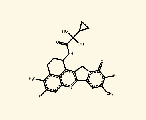 CCc1c(C)cc2n(c1=O)Cc1c-2nc2cc(F)c(C)c3c2c1C(NC(=O)C(O)(O)C1CC1)CC3